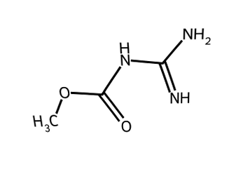 COC(=O)NC(=N)N